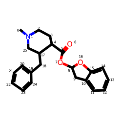 CN1CCC(C(=O)OC2Cc3ccccc3O2)C(Cc2ccccc2)C1